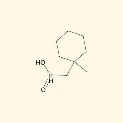 CC1(C[PH](=O)O)CCCCC1